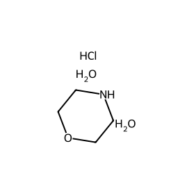 C1COCCN1.Cl.O.O